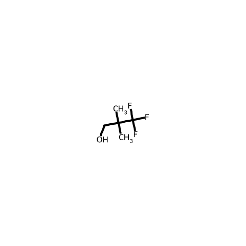 CC(C)(CO)C(F)(F)F